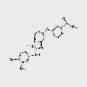 Cn1c(Nc2ccc(Br)c(C(C)(C)C)c2)nc2cc(Oc3ccnc(C(N)=O)c3)ccc21